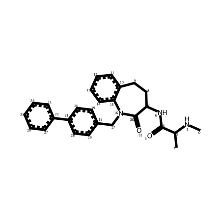 CNC(C)C(=O)NC1CCc2ccccc2N(Cc2ccc(-c3ccccc3)cc2)C1=O